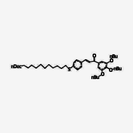 CCCCCCCCCCCCCCCCCCCCCSc1ccc(C=CC(=O)c2cc(OCCCC)c(OCCCC)c(OCCCC)c2)cc1